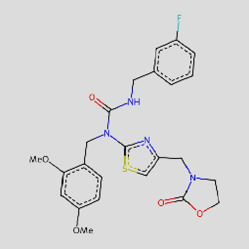 COc1ccc(CN(C(=O)NCc2cccc(F)c2)c2nc(CN3CCOC3=O)cs2)c(OC)c1